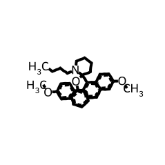 CCCCN1CCCCC1(Oc1ccccc1)c1c(-c2ccc(OC)cc2)ccc2cc(OC)ccc12